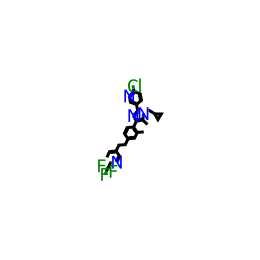 C/C=C(\C=N/CC(F)(F)F)CCc1ccc(-c2nc(-c3ccc(Cl)nc3)n(CC3CC3)c2C)c(C)c1